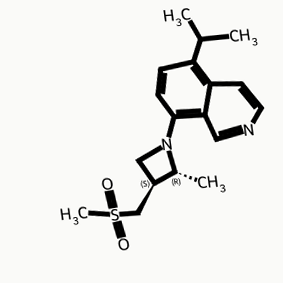 CC(C)c1ccc(N2C[C@H](CS(C)(=O)=O)[C@H]2C)c2cnccc12